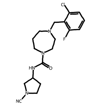 N#CN1CCC(NC(=O)N2CCCN(Cc3c(F)cccc3Cl)CC2)C1